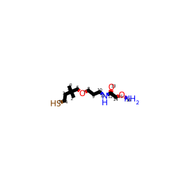 CC(C)(CCS)COCCCNC(=O)CON